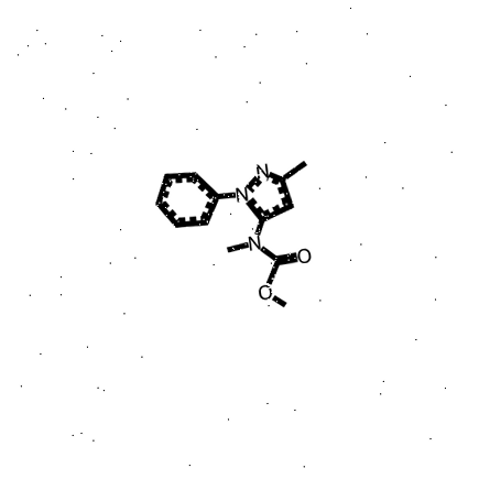 COC(=O)N(C)c1cc(C)nn1-c1ccccc1